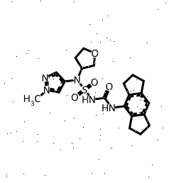 Cn1cc(N(C2CCOC2)S(=O)(=O)NC(=O)Nc2c3c(cc4c2CCC4)CCC3)cn1